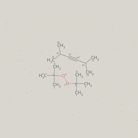 CC(C)(C)OOC(C)(C)C.CC(C)C#CC(C)C